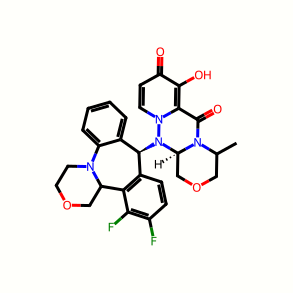 CC1COC[C@@H]2N1C(=O)c1c(O)c(=O)ccn1N2[C@@H]1c2ccccc2N2CCOCC2c2c1ccc(F)c2F